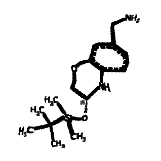 CC(C)(C)[Si](C)(C)O[C@@H]1COc2cc(CN)ccc2N1